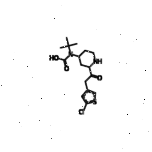 CC(C)(C)N(C(=O)O)C1CCNC(C(=O)Cc2csc(Cl)c2)C1